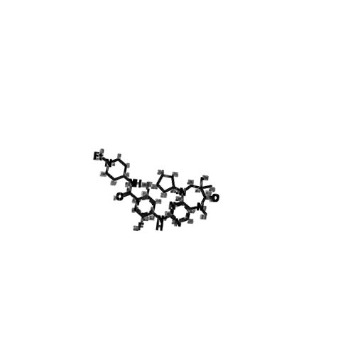 CCN1CCC(NC(=O)c2cc(F)c(Nc3ncc4c(n3)N(C3CCCC3)CC(C)(C)C(=O)N4C)cc2F)CC1